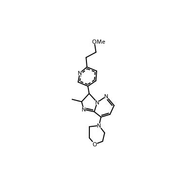 COCCc1ccc(C2C(C)N=C3C(N4CCOCC4)=CC=NN32)cn1